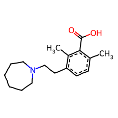 Cc1ccc(CCN2CCCCCC2)c(C)c1C(=O)O